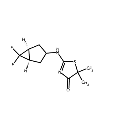 CC1(C(F)(F)F)SC(NC2C[C@@H]3[C@H](C2)C3(F)F)=NC1=O